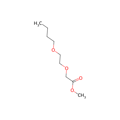 CCCCOCCOCC(=O)OC